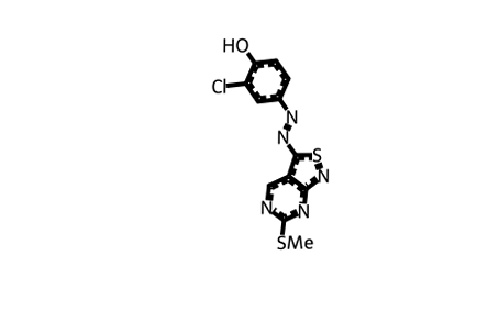 CSc1ncc2c(/N=N/c3ccc(O)c(Cl)c3)snc2n1